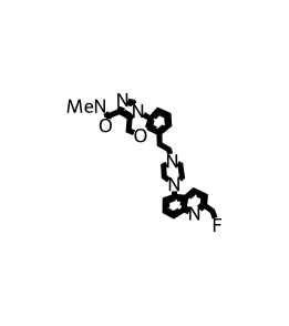 CNC(=O)c1ncn2c1COc1c(CCN3CCN(c4cccc5nc(CF)ccc45)CC3)cccc1-2